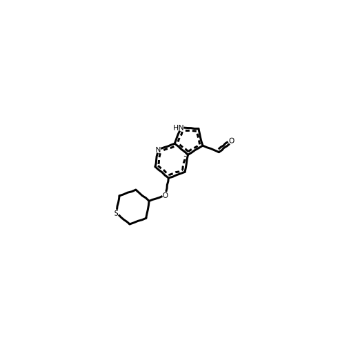 O=Cc1c[nH]c2ncc(OC3CCSCC3)cc12